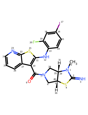 CN1C(=N)S[C@@H]2CN(C(=O)c3c(Nc4ccc(I)cc4F)sc4ncccc34)C[C@@H]21